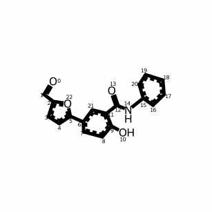 O=Cc1ccc(-c2ccc(O)c(C(=O)Nc3ccccc3)c2)o1